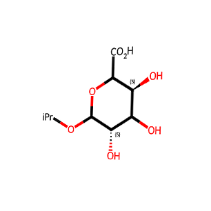 CC(C)OC1OC(C(=O)O)[C@@H](O)C(O)[C@@H]1O